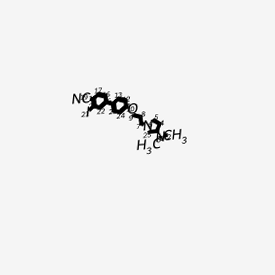 CN(C)[C@@H]1CCN(CCCOc2ccc(-c3ccc(C#N)c(I)c3)cc2)C1